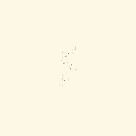 CC(=O)Nc1ccc2c(c1)C(C)(C)c1cc(NC(C)=O)ccc1-2